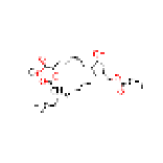 CCCCCC/C=C/[C@H]1[C@H](COC(C)=O)C[C@@H](O)[C@@H]1C/C=C\CCC(OC(C)=O)C(=O)OC